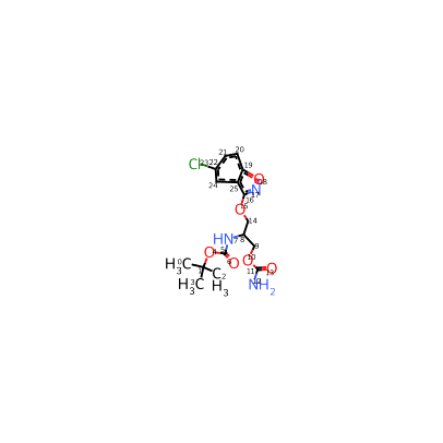 CC(C)(C)OC(=O)NC(COC(N)=O)COc1noc2ccc(Cl)cc12